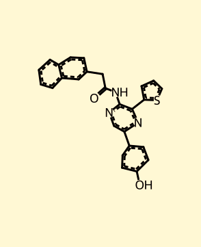 O=C(Cc1ccc2ccccc2c1)Nc1ncc(-c2ccc(O)cc2)nc1-c1cccs1